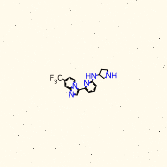 FC(F)(F)c1ccn2c(-c3cccc(NC4CCNC4)n3)cnc2c1